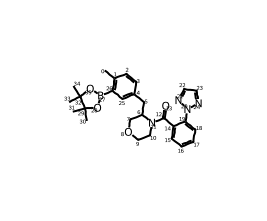 Cc1ccc(CC2COCCN2C(=O)c2ccccc2-n2nccn2)cc1B1OC(C)(C)C(C)(C)O1